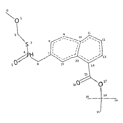 COCS[PH](=O)Cc1ccc2cccc(C(=O)OC(C)(C)C)c2c1